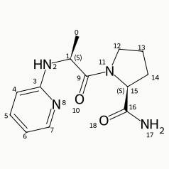 C[C@H](Nc1ccccn1)C(=O)N1CCC[C@H]1C(N)=O